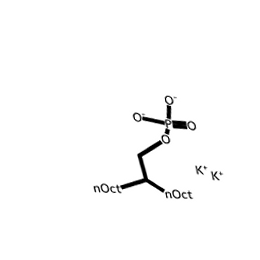 CCCCCCCCC(CCCCCCCC)COP(=O)([O-])[O-].[K+].[K+]